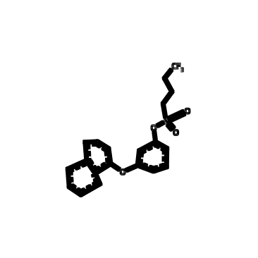 O=S(=O)(CCCC(F)(F)F)Oc1cccc(Oc2cccc3ccccc23)c1